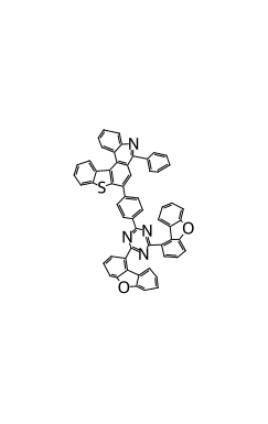 c1ccc(-c2nc3ccccc3c3c2cc(-c2ccc(-c4nc(-c5cccc6oc7ccccc7c56)nc(-c5cccc6oc7ccccc7c56)n4)cc2)c2sc4ccccc4c23)cc1